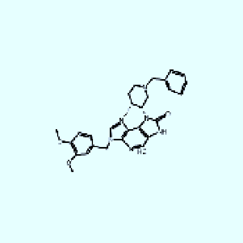 COc1ccc(Cn2cnc3c2ncc2[nH]c(=O)n([C@H]4CN(Cc5ccccc5)CC[C@H]4C)c23)cc1OC.Cl